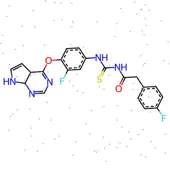 O=C(Cc1ccc(F)cc1)NC(=S)Nc1ccc(OC2=NC=NC3NC=CC23)c(F)c1